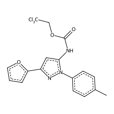 Cc1ccc(-n2nc(-c3ccco3)cc2NC(=O)OCC(Cl)(Cl)Cl)cc1